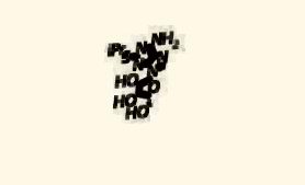 CC(C)Sc1nc(N)c2ncn([C@@H]3O[C@H](CO)[C@@H](O)[C@H]3O)c2n1